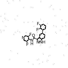 O=C(Nc1c(F)cncc1F)c1n[nH]c2ccc(-c3cccc(F)c3F)cc12